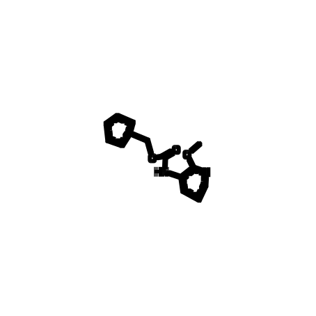 COc1ncccc1NC(=O)OCc1ccccc1